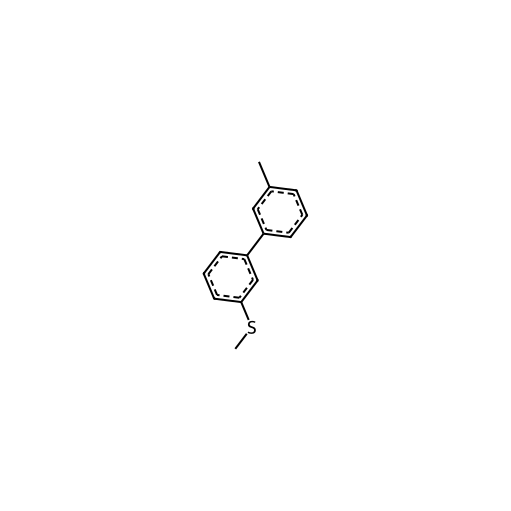 CSc1cccc(-c2cccc(C)c2)c1